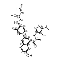 CCc1ncc(CN(C)C(=O)c2cc(-c3ccc(NCC(O)CNC)c(C)n3)nc3ccc(O)cc23)n1C